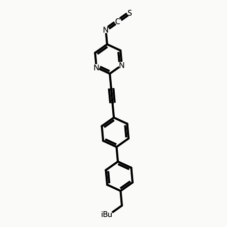 CCC(C)Cc1ccc(-c2ccc(C#Cc3ncc(N=C=S)cn3)cc2)cc1